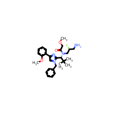 COCC(=O)N(C[C@@H](F)CN)[C@@H](c1nc(-c2ccccc2OC)cn1Cc1ccccc1)C(C)(C)C